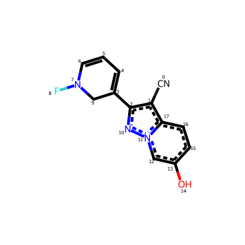 N#Cc1c(C2=CC=CN(F)C2)nn2cc(O)ccc12